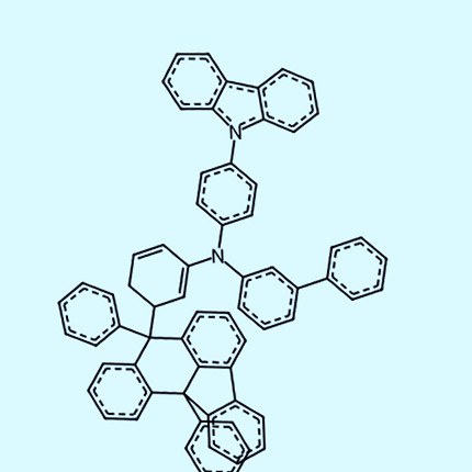 C1=CC(N(c2ccc(-n3c4ccccc4c4ccccc43)cc2)c2cccc(-c3ccccc3)c2)=CC(C2(c3ccccc3)c3ccccc3C3(c4ccccc4)c4ccccc4-c4cccc2c43)C1